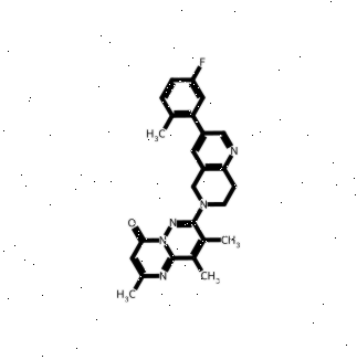 Cc1cc(=O)n2nc(N3CCc4ncc(-c5cc(F)ccc5C)cc4C3)c(C)c(C)c2n1